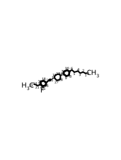 CCCCCCCc1ccc([C@H]2CC[C@H](C#Cc3ccc(CCC)c(F)c3)CC2)cc1